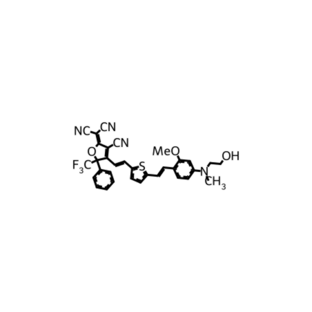 COc1cc(N(C)CCO)ccc1/C=C/c1ccc(/C=C/C2=C(C#N)C(=C(C#N)C#N)OC2(c2ccccc2)C(F)(F)F)s1